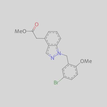 COC(=O)Cc1cccc2c1cnn2Cc1cc(Br)ccc1OC